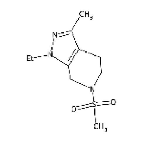 CCn1nc(C)c2c1CN(S(C)(=O)=O)CC2